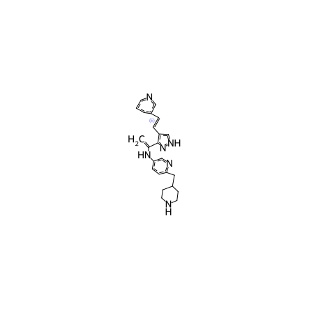 C=C(Nc1ccc(CC2CCNCC2)nc1)c1n[nH]cc1/C=C/c1cccnc1